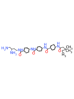 CC(C)(C)CC(=O)Nc1ccc(C(=O)Nc2ccc(C(=O)Nc3ccc(C(=O)NCCC(N)CN)cc3)cc2)cc1